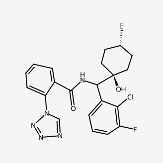 O=C(NC(c1cccc(F)c1Cl)[C@]1(O)CC[C@H](F)CC1)c1ccccc1-n1cnnn1